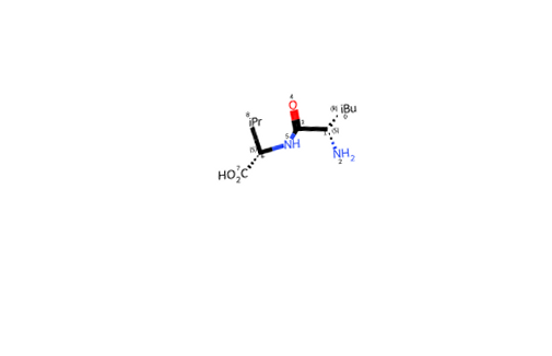 CC[C@@H](C)[C@H](N)C(=O)N[C@H](C(=O)O)C(C)C